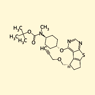 C#CCOC[C@H]1CCc2sc3ncnc(O[C@H]4CC[C@H](N(C)C(=O)OC(C)(C)C)CC4)c3c21